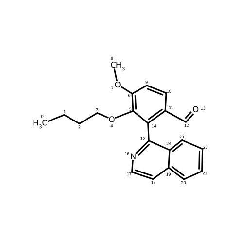 CCCCOc1c(OC)ccc(C=O)c1-c1nccc2ccccc12